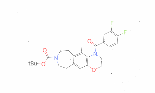 Cc1c2c(cc3c1N(C(=O)c1ccc(F)c(F)c1)CCO3)CCN(C(=O)OC(C)(C)C)CC2